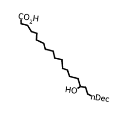 CCCCCCCCCCCCC(O)CCCCCCCCCCCCCCC(=O)O